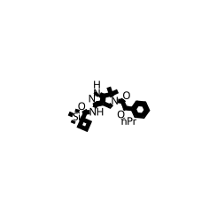 CCCO[C@@H](C(=O)N1Cc2c(NC(=O)C3([Si](C)(C)C)CCC3)n[nH]c2C1(C)C)c1ccccc1